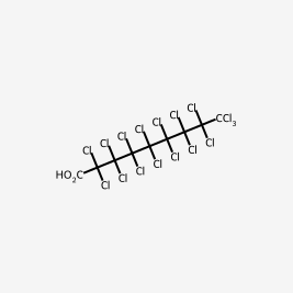 O=C(O)C(Cl)(Cl)C(Cl)(Cl)C(Cl)(Cl)C(Cl)(Cl)C(Cl)(Cl)C(Cl)(Cl)C(Cl)(Cl)C(Cl)(Cl)Cl